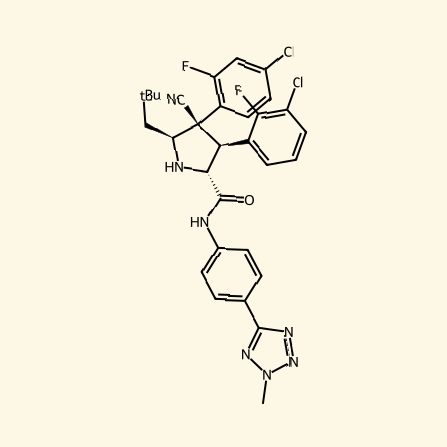 Cn1nnc(-c2ccc(NC(=O)[C@@H]3N[C@@H](CC(C)(C)C)[C@](C#N)(c4ccc(Cl)cc4F)[C@H]3c3cccc(Cl)c3F)cc2)n1